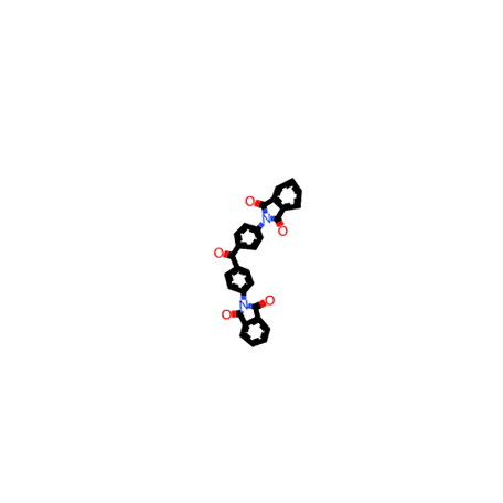 O=C(c1ccc(N2C(=O)c3ccccc3C2=O)cc1)c1ccc(N2C(=O)c3ccccc3C2=O)cc1